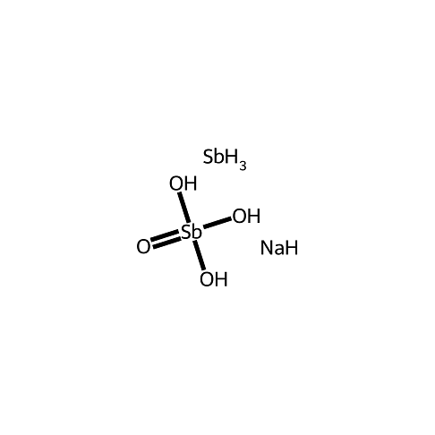 [NaH].[O]=[Sb]([OH])([OH])[OH].[SbH3]